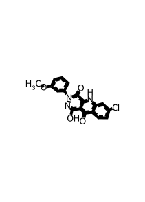 COc1cccc(-n2nc(O)c3c(=O)c4ccc(Cl)cc4[nH]c3c2=O)c1